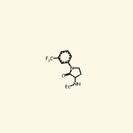 CCNC1CCN(c2cccc(C(F)(F)F)c2)C1=O